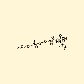 CCCOCCOCCNC(=O)COCCOCCNC(=O)CCC(NC(=O)C(C)(CC)CC(C)(C)C)C(=O)O